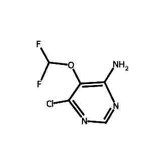 Nc1ncnc(Cl)c1OC(F)F